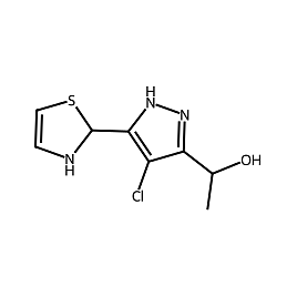 CC(O)c1n[nH]c(C2NC=CS2)c1Cl